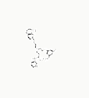 O=C(O)C(CCN(CCCCc1ccc2c(n1)NCCC2)CCOc1cc(F)cc(F)c1)Nc1cccnc1